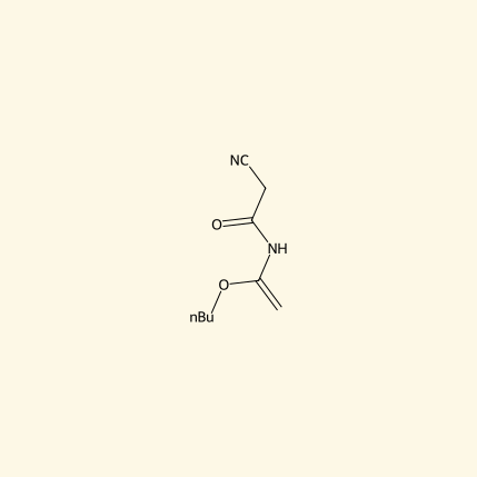 C=C(NC(=O)CC#N)OCCCC